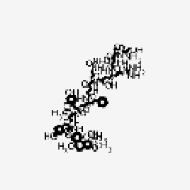 COc1cc2c(c(OC)c1OC)-c1ccc(NC(=O)[C@@H](CC(=O)[C@H](CC(C)C)NC(=O)[C@@H](CC(=O)[C@H](CCc3ccccc3)NC(=O)CCC(=O)[C@H](CCCNC(N)=O)NC(=O)[C@H](CO)CC(=O)[C@H](CCCNC(=N)N)NC(=O)[C@@H](CO)CC(=O)[C@@H](CO)NC(=O)[C@H](N)CO)Cc3ccc(O)cc3)Cc3ccc(O)cc3)c(=O)cc1[C@@H](C)CC2